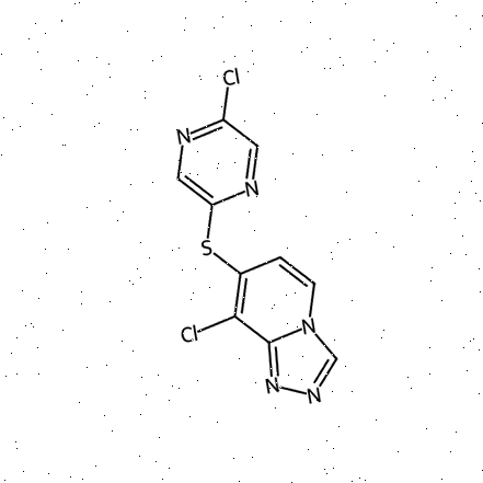 Clc1cnc(Sc2ccn3cnnc3c2Cl)cn1